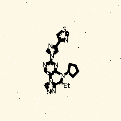 CC[C@@H]1c2nncn2-c2cnc(-n3cnc(-c4cscn4)c3)nc2N1C1CCCC1